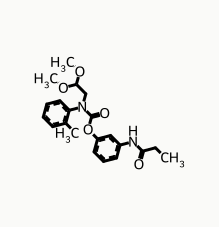 CCC(=O)Nc1cccc(OC(=O)N(CC(OC)OC)c2ccccc2C)c1